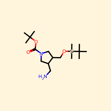 CC(C)(C)OC(=O)N1CC(CN)C(CO[Si](C)(C)C(C)(C)C)C1